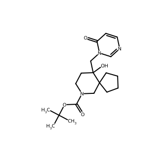 CC(C)(C)OC(=O)N1CCC(O)(Cn2cnccc2=O)C2(CCCC2)C1